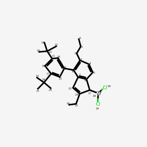 CCCc1ccc2c(c1-c1cc(C(C)(C)C)cc(C(C)(C)C)c1)C=C(CC)[CH]2[Zr]([Cl])[Cl]